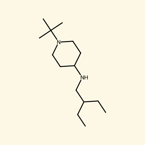 CCC(CC)CNC1CCN(C(C)(C)C)CC1